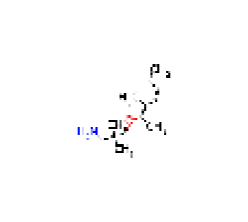 C=C/C=C\C(C)=C(/C)OCC(C)(C)CN